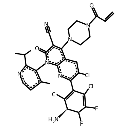 C=CC(=O)N1CCN(c2c(C#N)c(=O)n(-c3c(C)ccnc3C(C)C)c3nc(C4=C(Cl)[C@H](N)C(F)C(F)=C4Cl)c(Cl)cc23)CC1